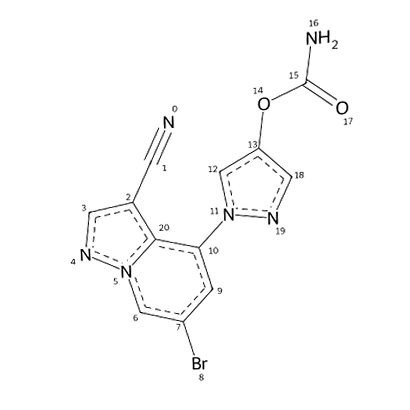 N#Cc1cnn2cc(Br)cc(-n3cc(OC(N)=O)cn3)c12